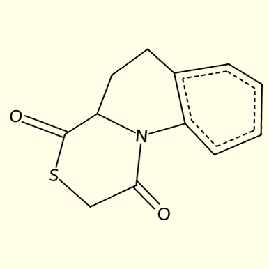 O=C1SCC(=O)N2c3ccccc3CCC12